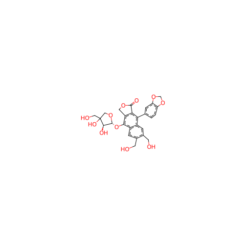 O=C1OCc2c1c(-c1ccc3c(c1)OCO3)c1cc(CO)c(CO)cc1c2O[C@H]1OCC(O)(CO)[C@@H]1O